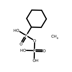 C.O=P(O)(O)OP(=O)(O)C1CCCCC1